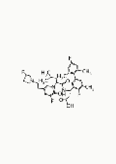 Cc1cc(-c2c(C)cc(F)cc2C)cc([C@H](CC(=O)O)NC(=O)C(CC(C)C)n2cc(CCN3CCC(F)C3)cc(F)c2=O)c1F